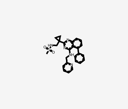 CS(=O)(=O)NCC1(c2nc(NCc3ccccn3)c3c(-c4ccccc4)cccc3n2)CC1